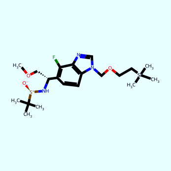 COC[C@@H](N[S@+]([O-])C(C)(C)C)c1ccc2c(ncn2COCC[Si](C)(C)C)c1F